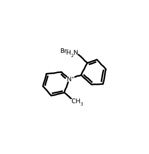 Cc1cccc[n+]1-c1ccccc1N.[Br-]